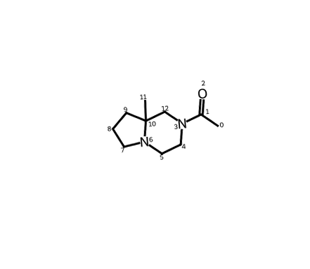 CC(=O)N1CCN2CCCC2(C)C1